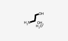 NCCO.O.O